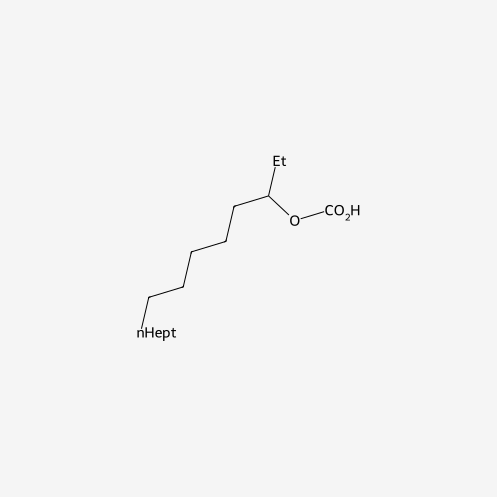 CCCCCCCCCCCCC(CC)OC(=O)O